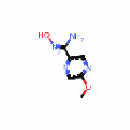 COc1cnc(/C(N)=N/O)cn1